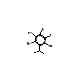 CC(C)c1c(Br)c(Br)c(Br)c(Br)c1Br